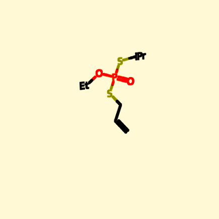 C=CCSP(=O)(OCC)SC(C)C